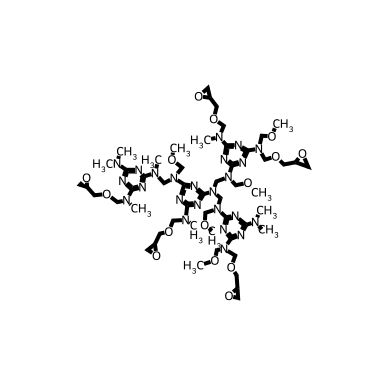 COCN(COCC1CO1)c1nc(N(C)C)nc(N(COC)CN(CN(COC)c2nc(N(C)COCC3CO3)nc(N(COC)COCC3CO3)n2)c2nc(N(C)COCC3CO3)nc(N(COC)CN(C)c3nc(N(C)C)nc(N(C)COCC4CO4)n3)n2)n1